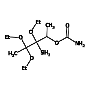 CCOC(C)(OCC)C([SiH3])(OCC)C(C)OC(N)=O